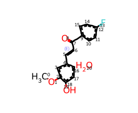 COc1cc(/C=C/C(=O)c2ccc(F)cc2)ccc1O.O